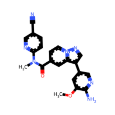 COc1cc(-c2cnn3ccc(C(=O)N(C)c4ccc(C#N)cn4)cc23)cnc1N